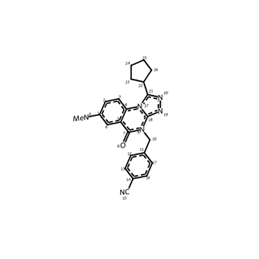 CNc1ccc2c(c1)c(=O)n(Cc1ccc(C#N)cc1)c1nnc(C3CCCC3)n21